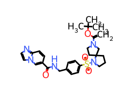 C=C(OC(C)(C)C)N1CCC2(CCCN2S(=O)(=O)c2ccc(CNC(=O)c3ccc4nccn4c3)cc2)C1